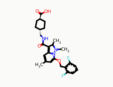 CC1=CC2=C(C(=O)NC[C@H]3CC[C@H](C(=O)O)CC3)C(C)N(C)N2C(OCc2c(F)cccc2F)=C1